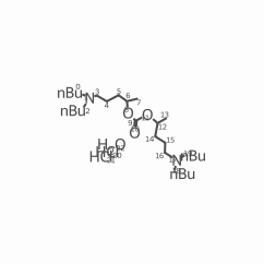 CCCCN(CCCC)CCCC(C)OC(=O)OC(C)CCCN(CCCC)CCCC.Cl.Cl.O